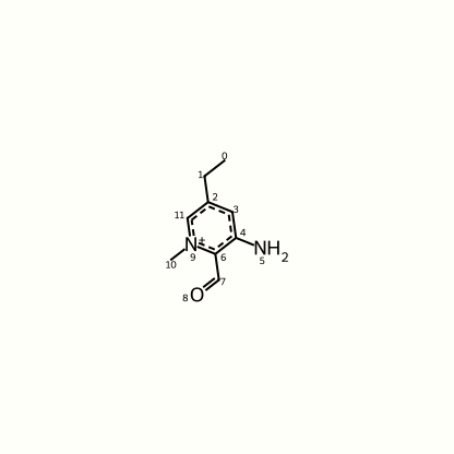 CCc1cc(N)c(C=O)[n+](C)c1